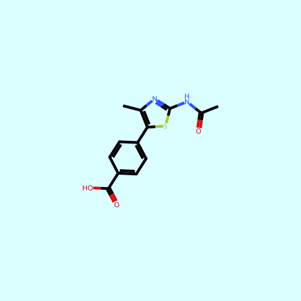 CC(=O)Nc1nc(C)c(-c2ccc(C(=O)O)cc2)s1